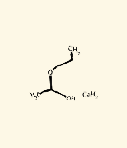 CCOC(C)O.[CaH2]